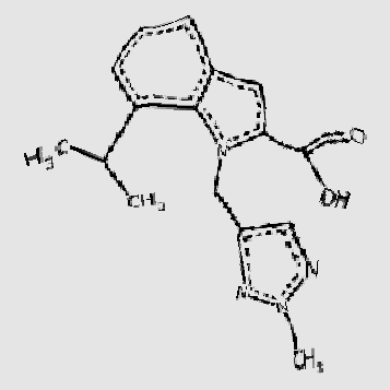 CC(C)c1cccc2cc(C(=O)O)n(Cc3cnn(C)n3)c12